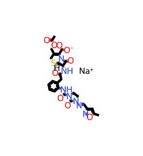 CC(=O)OCC1=C(C(=O)[O-])N2C(=O)C(NC(=O)Cc3ccccc3NC(=O)N3CCN(/N=C/c4cc(C)on4)C3=O)[C@H]2SC1.[Na+]